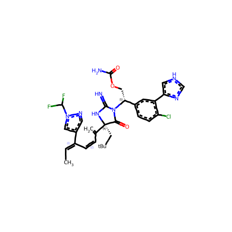 C=C(/C=C\C(=C/C)c1cnn(C(F)F)c1)[C@@]1(CC(C)(C)C)NC(=N)N([C@H](COC(N)=O)c2ccc(Cl)c(-c3c[nH]cn3)c2)C1=O